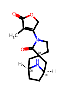 CC1=C(N2CC[C@]3(C[C@H]4CC[C@@H](C3)N4)C2=O)COC1=O